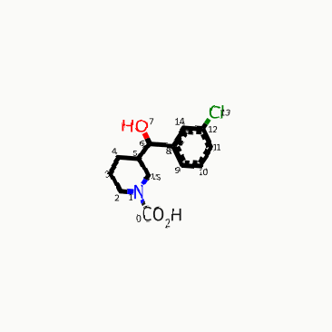 O=C(O)N1CCCC(C(O)c2cccc(Cl)c2)C1